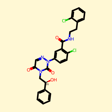 O=C(NCCc1ccccc1Cl)c1cc(-n2ncc(=O)n(C[C@@H](O)c3ccccc3)c2=O)ccc1Cl